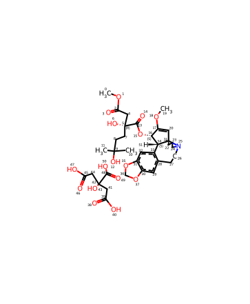 COC(=O)C[C@](O)(CCC(C)(C)O)C(=O)O[C@@H]1C(OC)=C[C@]23CCCN2CCc2cc4c(cc2[C@H]13)OCO4.O=C(O)CC(O)(CC(=O)O)C(=O)O